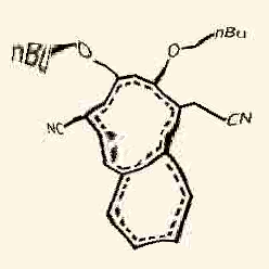 CCCCOc1c(OCCCC)c(C#N)c2ccccc2c1C#N